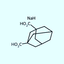 O=C(O)C12CC3CC(C1)CC(C(=O)O)(C3)C2.[NaH]